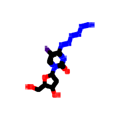 N=NN=NN=Nc1nc(=O)n(C2CC(O)C(CO)O2)cc1I